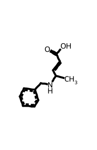 CC(C=CC(=O)O)NCc1ccccc1